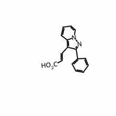 O=C(O)C=Cc1c(-c2ccccc2)nn2ccccc12